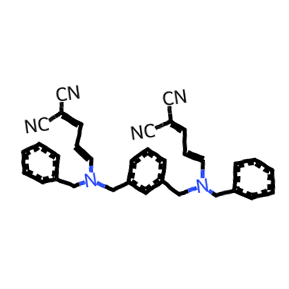 N#CC(C#N)=C/C=C/N(Cc1ccccc1)Cc1cccc(CN(/C=C/C=C(C#N)C#N)Cc2ccccc2)c1